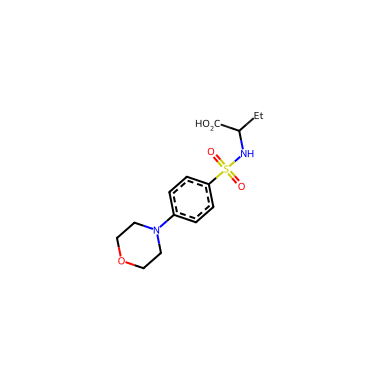 CCC(NS(=O)(=O)c1ccc(N2CCOCC2)cc1)C(=O)O